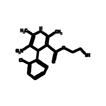 CC1=C(C(=O)OCCS)C(c2ccccc2Cl)C([N+](=O)[O-])=C(C)N1